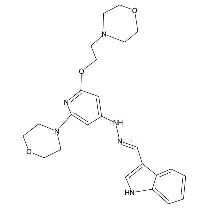 C(=N\Nc1cc(OCCN2CCOCC2)nc(N2CCOCC2)c1)/c1c[nH]c2ccccc12